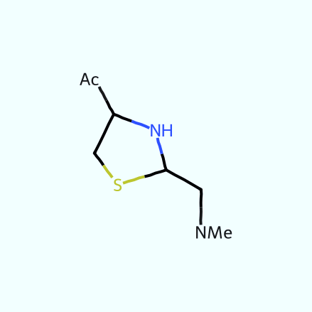 CNCC1NC(C(C)=O)CS1